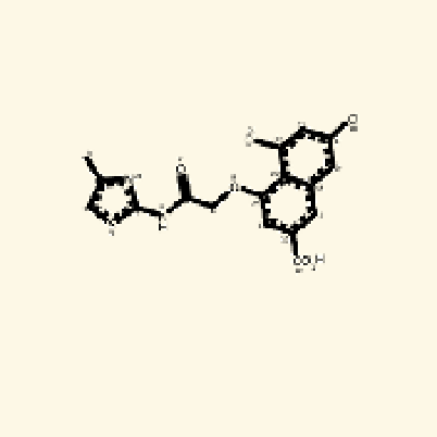 Cc1csc(NC(=O)COc2cc(C(=O)O)cc3cc(Cl)cc(Cl)c23)n1